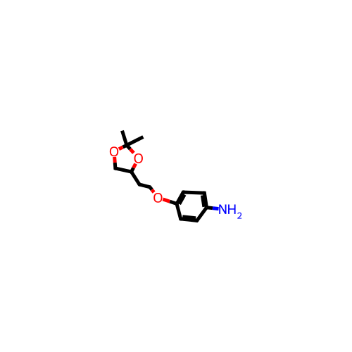 CC1(C)OCC(CCOc2ccc(N)cc2)O1